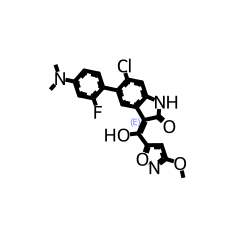 COc1cc(/C(O)=C2\C(=O)Nc3cc(Cl)c(-c4ccc(N(C)C)cc4F)cc32)on1